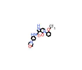 O=C(Nc1ccc(N2CCOCC2)cc1)c1c[nH]c2ccn(-c3ccccc3OCC(F)(F)F)c(=O)c12